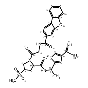 C[C@@H](NC(=O)[C@@H]1CC(S(C)(=O)=O)CN1C(=O)CNC(=O)c1ccc2c(c1)oc1ccccc12)c1cc(C(=N)N)cs1